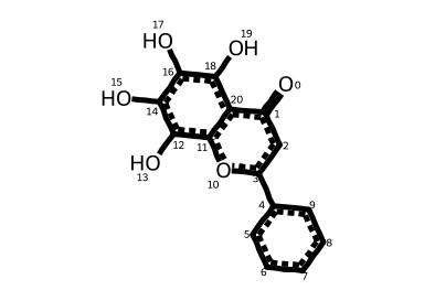 O=c1cc(-c2ccccc2)oc2c(O)c(O)c(O)c(O)c12